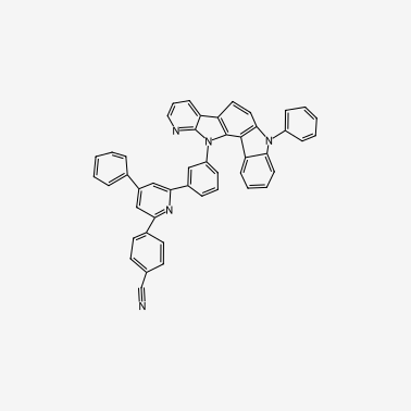 N#Cc1ccc(-c2cc(-c3ccccc3)cc(-c3cccc(-n4c5ncccc5c5ccc6c(c7ccccc7n6-c6ccccc6)c54)c3)n2)cc1